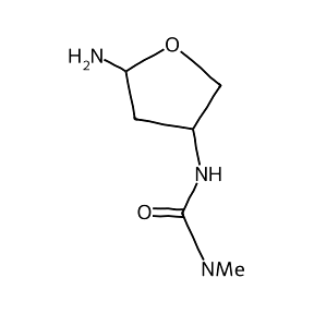 CNC(=O)NC1COC(N)C1